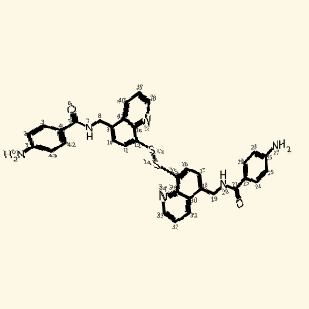 Nc1ccc(C(=O)NCc2ccc(SSc3ccc(CNC(=O)c4ccc(N)cc4)c4cccnc34)c3ncccc23)cc1